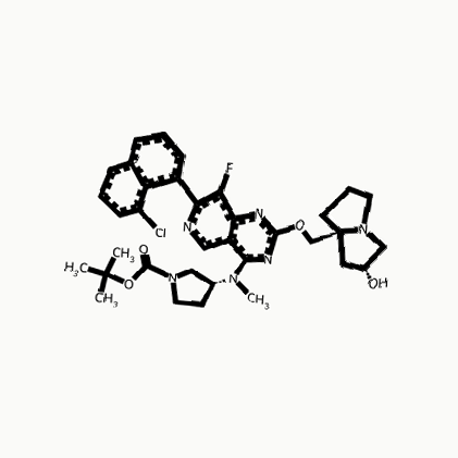 CN(c1nc(OC[C@@]23CCCN2C[C@H](O)C3)nc2c(F)c(-c3cccc4cccc(Cl)c34)ncc12)[C@@H]1CCN(C(=O)OC(C)(C)C)C1